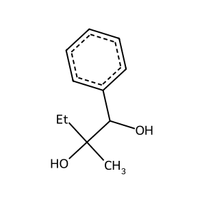 CCC(C)(O)C(O)c1ccccc1